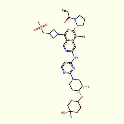 C=CC(=O)N1CCC[C@@H]1c1cc(N2CC(CS(C)(=O)=O)C2)c2cnc(Nc3ccnc(N4CC[C@@H](OC5CCC(C)(O)CC5)[C@@H](F)C4)n3)cc2c1C(C)C